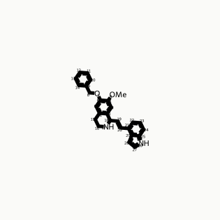 COc1cc2c(cc1OCc1ccccc1)CCNC2/C=C/c1cccc2[nH]ccc12